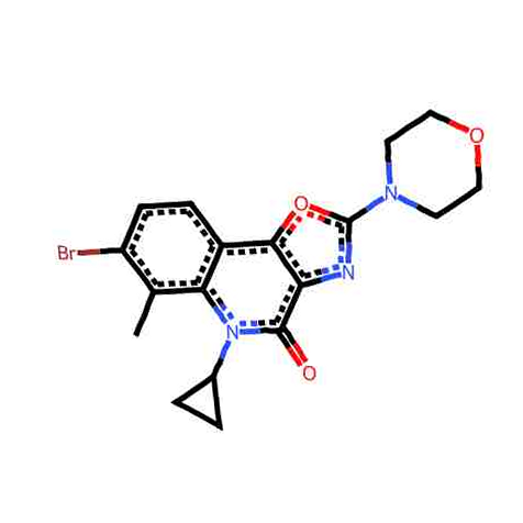 Cc1c(Br)ccc2c3oc(N4CCOCC4)nc3c(=O)n(C3CC3)c12